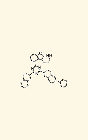 C1=Cc2c(oc3cccc(-c4nc(-c5ccc6ccccc6c5)nc(-c5ccc6cc(-c7ccccc7)ccc6c5)n4)c23)NC1